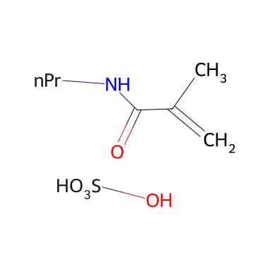 C=C(C)C(=O)NCCC.O=S(=O)(O)O